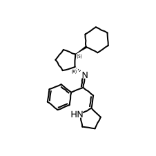 C(=C1CCCN1)C(=N[C@@H]1CCC[C@H]1C1CCCCC1)c1ccccc1